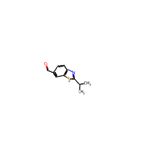 CC(C)c1nc2ccc(C=O)cc2s1